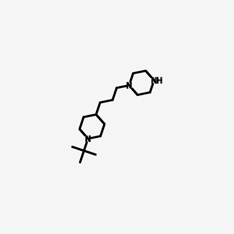 CC(C)(C)N1CCC(CCCN2CCNCC2)CC1